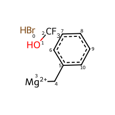 Br.OC(F)(F)F.[Mg+2][CH2]c1ccccc1